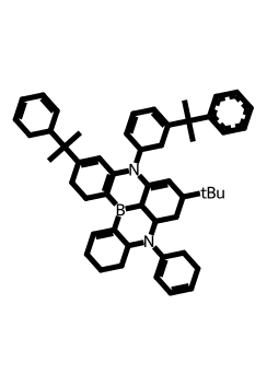 CC(C)(C1=CC=CC(N2C3=CC(C(C)(C)C)CC4C3B(C3=CCCCC3N4C3=CC=CCC3)C3=C2C=C(C(C)(C)C2C=CC=CC2)CC3)C1)c1ccccc1